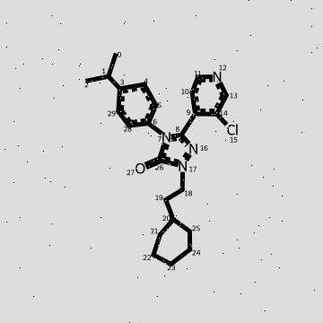 CC(C)c1ccc(-n2c(-c3ccncc3Cl)nn(CCC3CCCCC3)c2=O)cc1